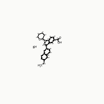 COc1ccc2cc(-c3nn(C4CCCCO4)c4ccc(C(=O)O)cc34)ccc2c1.[KH]